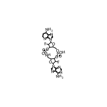 Nc1ccnc2c1ncn2C1OC2COP(=O)(O)OC3C(CNS(=O)(=O)OC2C1F)OC(n1cnc2c(N)ncnc21)C3F